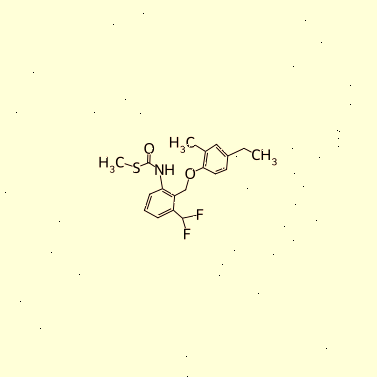 CCc1ccc(OCc2c(NC(=O)SC)cccc2C(F)F)c(C)c1